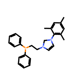 Cc1cc(C)c(N2C=CN(CCP(c3ccccc3)c3ccccc3)C2)c(C)c1